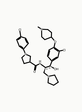 CN1CCC(Oc2ccc([C@@H](O)[C@@H](CN3CCCC3)NC(=O)C3CCN(c4ccc(Cl)cc4)C3)cc2Cl)CC1